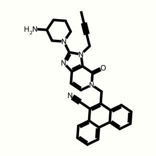 CC#CCn1c(N2CCCC(N)C2)nc2ccn(Cc3c(C#N)c4ccccc4c4ccccc34)c(=O)c21